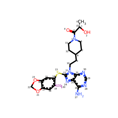 C[C@H](O)C(=O)N1CCC(CCn2c(Sc3cc4c(cc3[131I])OCO4)nc3c(N)ncnc32)CC1